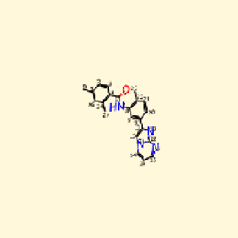 Cc1ccc(C(=O)Nc2cc(-c3cn4cccnc4n3)ccc2C)c(C)c1